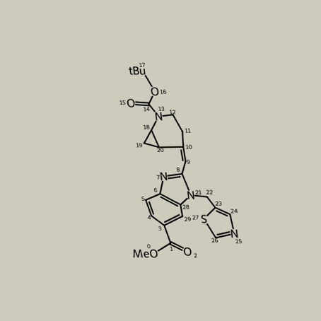 COC(=O)c1ccc2nc(/C=C3/CCN(C(=O)OC(C)(C)C)C4CC34)n(Cc3cncs3)c2c1